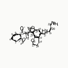 COc1ccccc1[S+]([O-])Nc1noc2cc(CN/C=C\C=N)c3c(c12)OCCC3